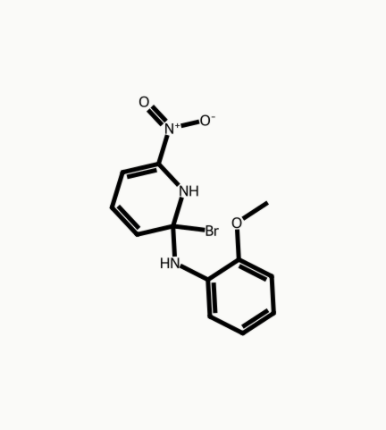 COc1ccccc1NC1(Br)C=CC=C([N+](=O)[O-])N1